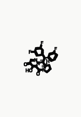 O=C1c2c(O)c(=O)cnn2[C@@H]([C@H](c2cccc(F)c2)c2cc(F)cc(F)c2)[C@H]2CCCN12